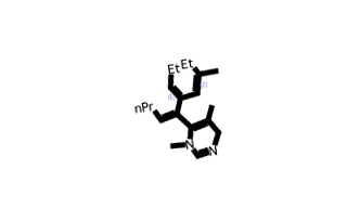 CC/C=C(\C=C(\C)CC)C(=CCCC)C1=C(C)CN=CN1C